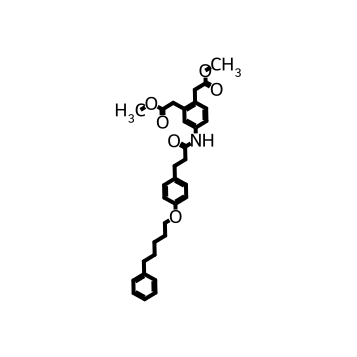 COC(=O)Cc1ccc(NC(=O)CCc2ccc(OCCCCCc3ccccc3)cc2)cc1CC(=O)OC